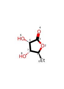 CC[C@@H]1OC(=O)[C@@H](O)[C@H]1O